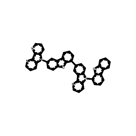 c1ccc2c(c1)oc1c(-n3c4ccc(-c5cccc6c5oc5ccc(-n7c8cccnc8c8ncccc87)cc56)cc4c4ncccc43)cccc12